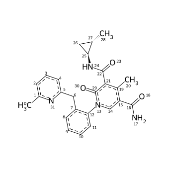 Cc1cccc(Cc2ccccc2-n2cc(C(N)=O)c(C)c(C(=O)N[C@H]3C[C@@H]3C)c2=O)n1